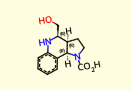 O=C(O)N1CC[C@@H]2[C@H](CO)Nc3ccccc3[C@@H]21